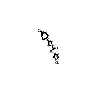 N#CN1CC[C@@H](NC(=O)N2CC(C3C=CC(Cl)=CC3)C2)C1